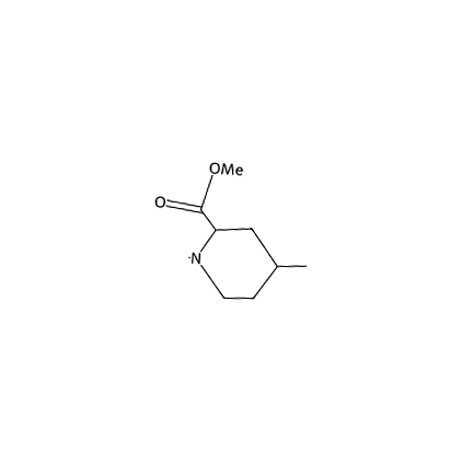 COC(=O)C1CC(C)CC[N]1